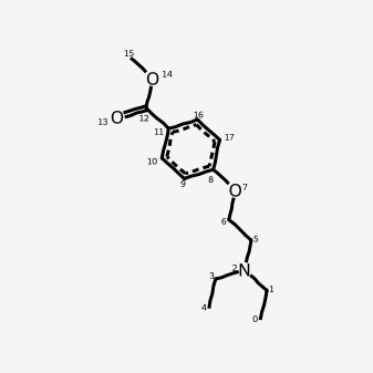 CCN(CC)CCOc1ccc(C(=O)OC)cc1